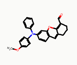 COc1ccc(N(c2ccccc2)c2ccc3c(c2)OC2=C(C=O)CCCC2=C3)cc1